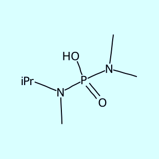 CC(C)N(C)P(=O)(O)N(C)C